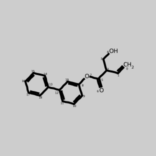 C=CC(CO)C(=O)Oc1cccc(-c2ccccc2)c1